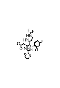 COC(=O)CC1=C(C(=N)/C=C\NC(F)F)[C@H](c2ccc(F)cc2Cl)N=C(c2nccs2)N1